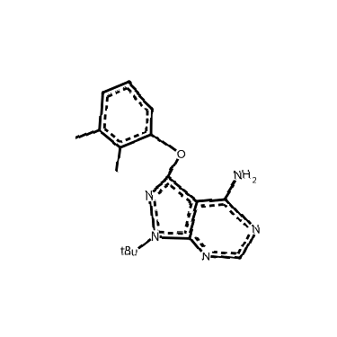 Cc1cccc(Oc2nn(C(C)(C)C)c3ncnc(N)c23)c1C